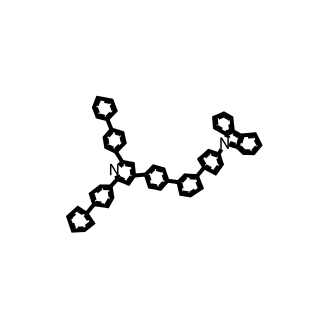 c1ccc(-c2ccc(-c3cc(-c4ccc(-c5cccc(-c6ccc(-n7c8ccccc8c8ccccc87)cc6)c5)cc4)cc(-c4ccc(-c5ccccc5)cc4)n3)cc2)cc1